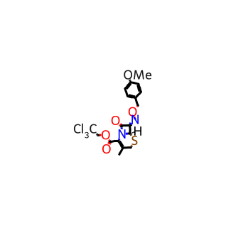 COc1ccc(CO/N=C2\C(=O)N3C(C(=O)OCC(Cl)(Cl)Cl)=C(C)CS[C@H]23)cc1